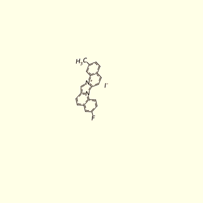 Cc1ccc2ccc3n4c(ccc5cc(F)ccc54)c[n+]3c2c1.[I-]